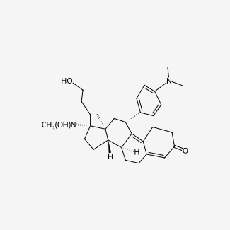 CN(C)c1ccc([C@H]2C[C@@]3(C)[C@@H](CC[C@]3(CCCO)N(C)O)[C@@H]3CCC4=CC(=O)CCC4=C32)cc1